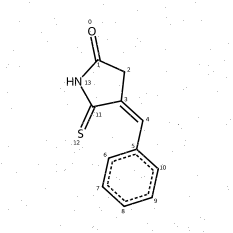 O=C1C/C(=C/c2ccccc2)C(=S)N1